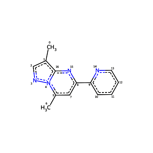 Cc1cnn2c(C)cc(-c3ccccn3)nc12